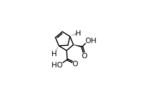 O=C(O)C1[C@H]2C=C[C@H](C2)[C@H]1C(=O)O